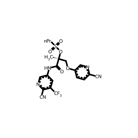 CCCS(=O)(=O)O[C@@](C)(COc1ccc(C#N)nc1)C(=O)Nc1cnc(C#N)c(C(F)(F)F)c1